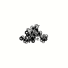 CCC(C)C(C(CC(=O)N1CCC[C@H]1C(OC)C(C)C(=O)NC(Cc1c[nH]c2ccccc12)C(=O)N1CCCCO1)OC)N(C)C(=O)C(NC(=O)C(C(C)C)N(C)CCNC(=O)NCCC(=O)ON1C(=O)CCC1=O)C(C)C